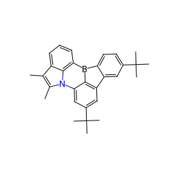 Cc1c(C)n2c3c(cccc13)B1c3ccc(C(C)(C)C)cc3-c3cc(C(C)(C)C)cc-2c31